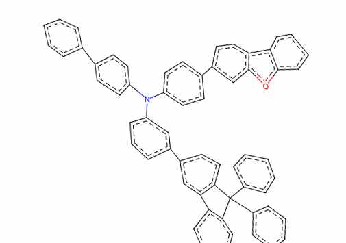 c1ccc(-c2ccc(N(c3ccc(-c4ccc5c(c4)oc4ccccc45)cc3)c3cccc(-c4ccc5c(c4)-c4ccccc4C5(c4ccccc4)c4ccccc4)c3)cc2)cc1